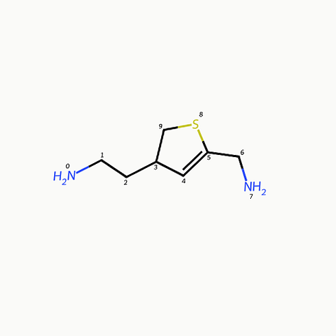 NCCC1C=C(CN)SC1